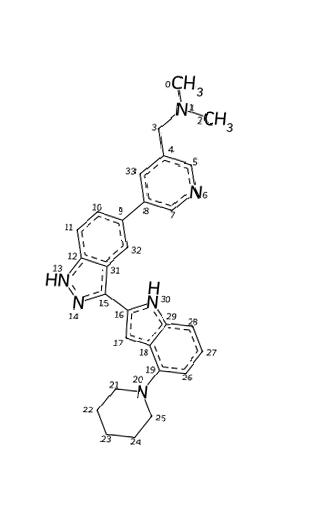 CN(C)Cc1cncc(-c2ccc3[nH]nc(-c4cc5c(N6CCCCC6)cccc5[nH]4)c3c2)c1